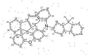 CC1(C)c2ccccc2-c2ccc(N(c3ccccc3)c3ccc4c(c3)C3(C5=C(C=CCC5)c5ccccc53)c3ccccc3O4)cc21